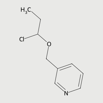 CCC(Cl)OCc1cccnc1